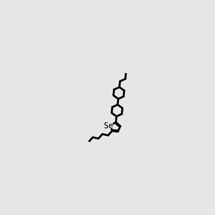 CCCCCc1ccc(C2CCC(C3CCC(CCC)CC3)CC2)[se]1